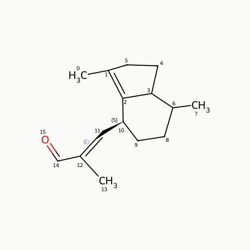 CC1=C2C(CC1)C(C)CC[C@H]2/C=C(\C)C=O